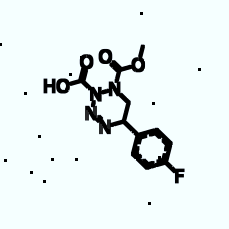 COC(=O)N1CC(c2ccc(F)cc2)N=NN1C(=O)O